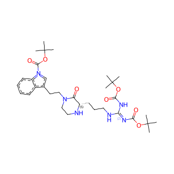 CC(C)(C)OC(=O)/N=C(/NCCC[C@@H]1NCCN(CCc2cn(C(=O)OC(C)(C)C)c3ccccc23)C1=O)NC(=O)OC(C)(C)C